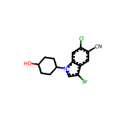 N#Cc1cc2c(Br)cn(C3CCC(O)CC3)c2cc1Cl